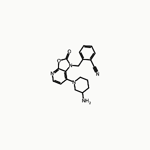 N#Cc1ccccc1Cn1c(=O)oc2nccc(N3CCCC(N)C3)c21